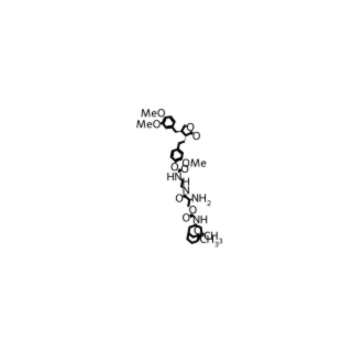 COc1ccc(C[C@H]2COC(=O)[C@@H]2CCc2ccc(OC(=O)NCCNC(=O)[C@@H](N)COC(=O)NC34CC5CCC(C(C)C3)C(C)(C5)C4)c(OC)c2)cc1OC